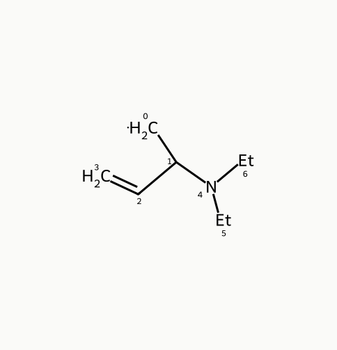 [CH2]C(C=C)N(CC)CC